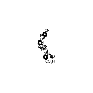 N#Cc1ccc(COc2ccc3c(n2)N2CCN(Cc4nc5ccc(C(=O)O)cc5n4C[C@@H]4CCO4)C[C@@H]2CO3)c(F)c1